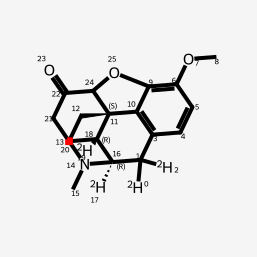 [2H]C1([2H])c2ccc(OC)c3c2[C@]24CCN(C)[C@@]1([2H])[C@]2([2H])CCC(=O)C4O3